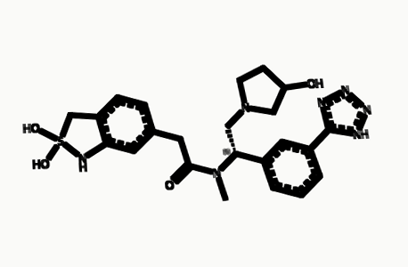 CN(C(=O)Cc1ccc2c(c1)NS(O)(O)C2)[C@H](CN1CCC(O)C1)c1cccc(-c2nnn[nH]2)c1